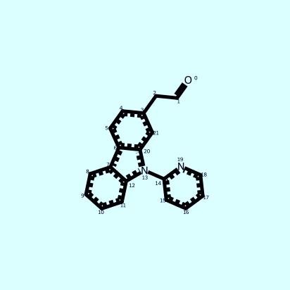 O=CCc1ccc2c3ccccc3n(-c3ccccn3)c2c1